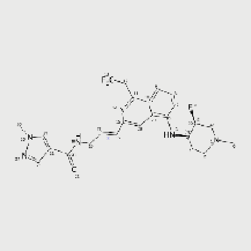 CN1CC[C@@H](Nc2cccc3c(CC(F)(F)F)nc(/C=C/CNC(=O)c4cnn(C)c4)cc23)[C@@H](F)C1